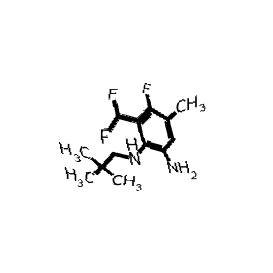 Cc1cc(N)c(NCC(C)(C)C)c(C(F)F)c1F